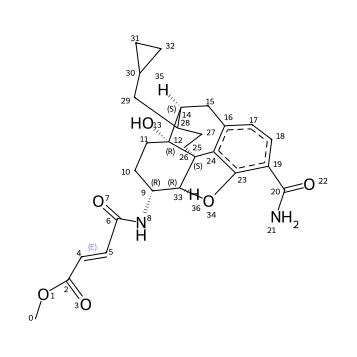 COC(=O)/C=C/C(=O)N[C@@H]1CC[C@@]2(O)[C@H]3Cc4ccc(C(N)=O)c5c4[C@@]2(CCC3CC2CC2)[C@H]1O5